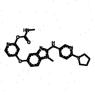 CNC(=O)Oc1cc(Oc2ccc3c(c2)nc(Nc2ccc(N4CCCC4)nc2)n3C)ccn1